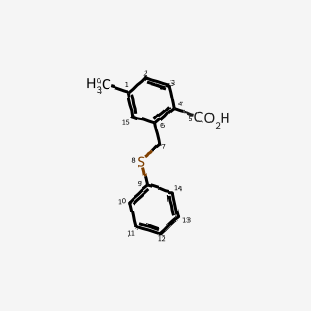 Cc1ccc(C(=O)O)c(CSc2ccccc2)c1